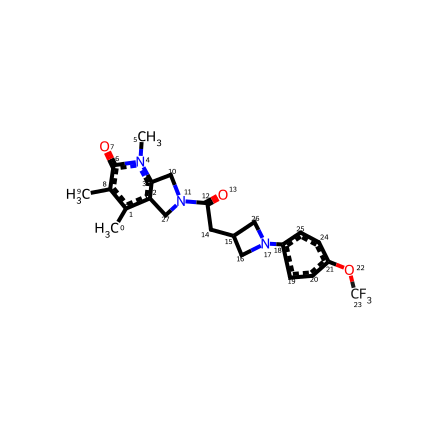 Cc1c2c(n(C)c(=O)c1C)CN(C(=O)CC1CN(c3ccc(OC(F)(F)F)cc3)C1)C2